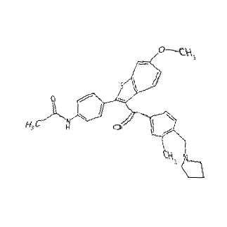 COc1ccc2c(C(=O)c3ccc(CN4CCCC4)c(C)c3)c(-c3ccc(NC(C)=O)cc3)sc2c1